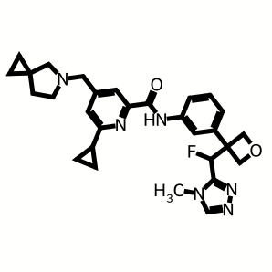 Cn1cnnc1C(F)C1(c2cccc(NC(=O)c3cc(CN4CCC5(CC5)C4)cc(C4CC4)n3)c2)COC1